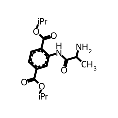 CC(C)OC(=O)c1ccc(C(=O)OC(C)C)c(NC(=O)C(C)N)c1